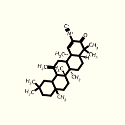 [C-]#[N+]C1=C[C@]2(C)C3CC(=C)C4C5CC(C)(C)CCC5(C)CC[C@@]4(C)[C@]3(C)CC[C@H]2C(C)(C)C1=O